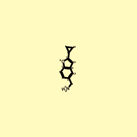 NCc1ccc2oc(C3CC3)cc2c1